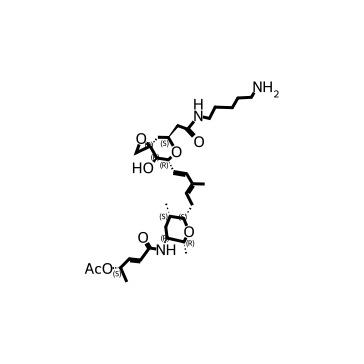 CC(=O)O[C@@H](C)C=CC(=O)N[C@@H]1C[C@H](C)[C@H](CC=C(C)C=C[C@H]2O[C@H](CC(=O)NCCCCCN)C[C@@]3(CO3)[C@@H]2O)O[C@@H]1C